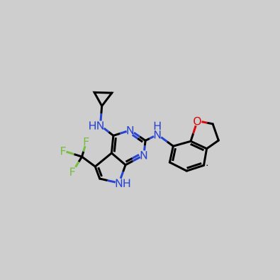 FC(F)(F)c1c[nH]c2nc(Nc3cc[c]c4c3OCC4)nc(NC3CC3)c12